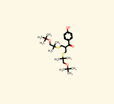 CC(C)(C)OCC(C)(C)SCC(CSC(C)(C)COC(C)(C)C)C(=O)c1ccc(O)cc1